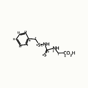 O=C(O)CNC(=S)NSCc1ccccc1